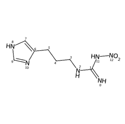 N=C(NCCCc1c[nH]cn1)N[N+](=O)[O-]